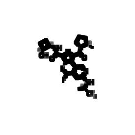 C[C@H](Nc1cc(C(F)F)c(-c2sc(C(=O)N[C@@H]3CC[C@H]3O)nc2C(=O)N2CCC[C@@H]2C)cn1)C(F)(F)F